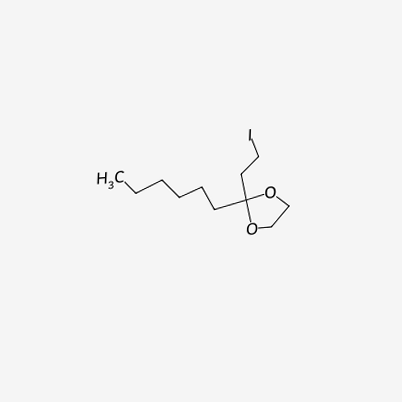 CCCCCCC1(CCI)OCCO1